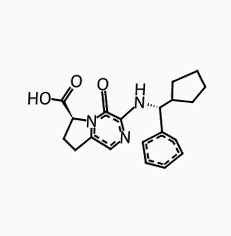 O=C(O)[C@@H]1CCc2cnc(N[C@@H](c3ccccc3)C3CCCC3)c(=O)n21